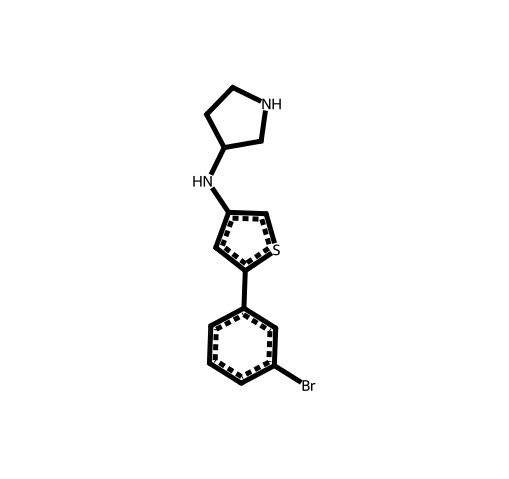 Brc1cccc(-c2cc(NC3CCNC3)cs2)c1